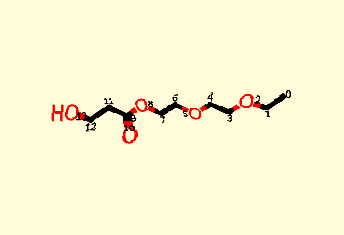 CCOCCOCCOC(=O)CCO